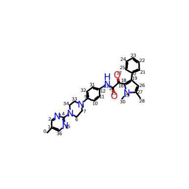 Cc1cnc(N2CCN(c3ccc(NC(=O)C(=O)c4c(-c5ccccc5)cc(C)n4C)cc3)CC2)nc1